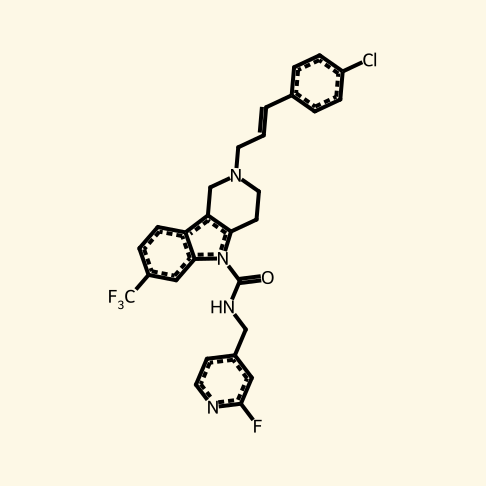 O=C(NCc1ccnc(F)c1)n1c2c(c3ccc(C(F)(F)F)cc31)CN(CC=Cc1ccc(Cl)cc1)CC2